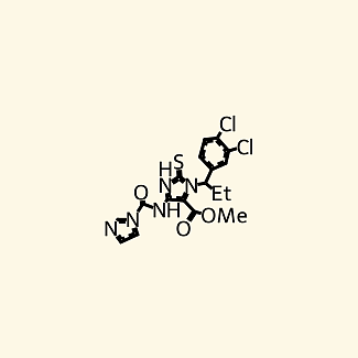 CCC(c1ccc(Cl)c(Cl)c1)n1c(C(=O)OC)c(NC(=O)n2ccnc2)[nH]c1=S